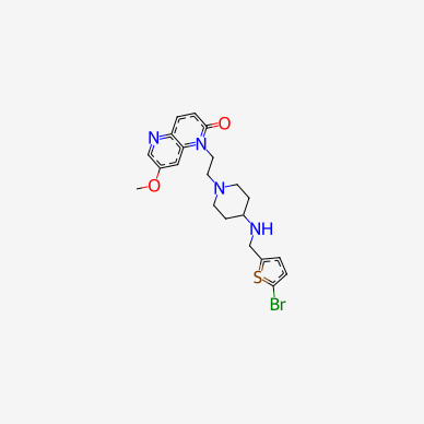 COc1cnc2ccc(=O)n(CCN3CCC(NCc4ccc(Br)s4)CC3)c2c1